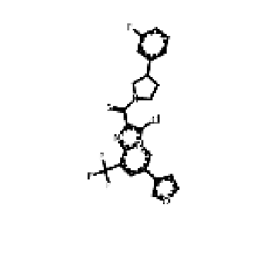 Fc1cccc(C2CCN(C(=S)c3nc4c(C(F)(F)F)cc(-c5ccoc5)cn4c3Cl)C2)c1